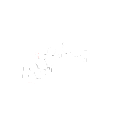 CC(C)CCCC(C)[C@H]1CC[C@H]2[C@@H]3C(=O)C=C4C(C)(C)[C@H](O)CC[C@]4(C)[C@H]3CC[C@]12C